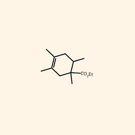 CCOC(=O)C1(C)CC(C)=C(C)CC1C